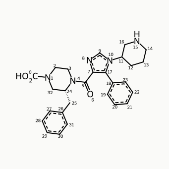 O=C(O)N1CCN(C(=O)c2ncn(C3CCCNC3)c2-c2ccccc2)[C@H](Cc2ccccc2)C1